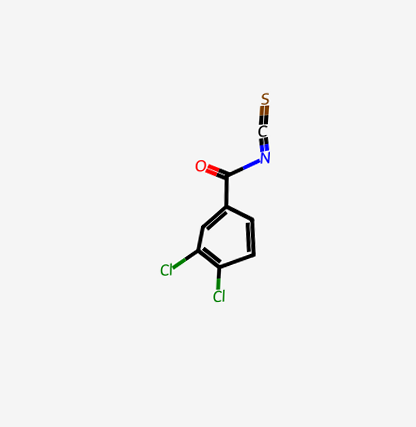 O=C(N=C=S)c1ccc(Cl)c(Cl)c1